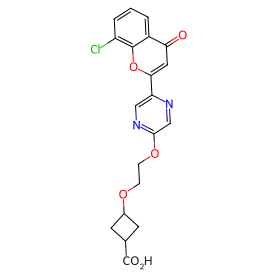 O=C(O)C1CC(OCCOc2cnc(-c3cc(=O)c4cccc(Cl)c4o3)cn2)C1